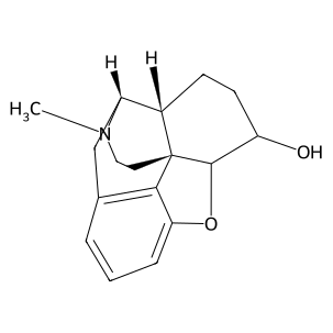 CN1CC[C@]23c4c5cccc4OC2C(O)CC[C@H]3[C@H]1C5